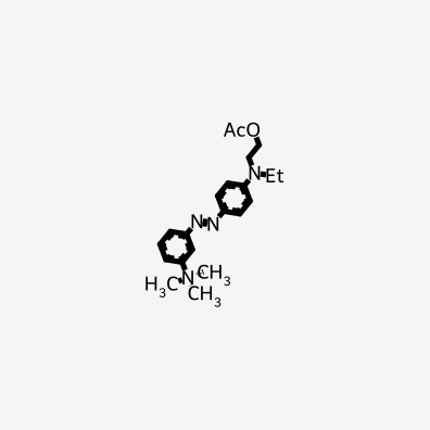 CCN(CCOC(C)=O)c1ccc(/N=N/c2cccc([N+](C)(C)C)c2)cc1